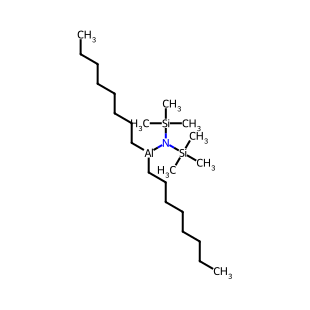 CCCCCCC[CH2][Al]([CH2]CCCCCCC)[N]([Si](C)(C)C)[Si](C)(C)C